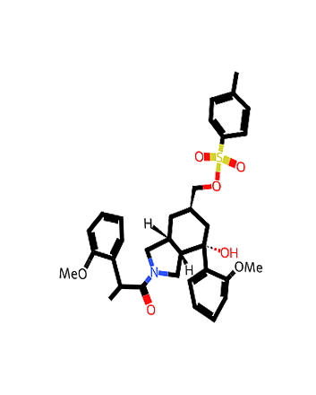 COc1ccccc1C(C)C(=O)N1C[C@@H]2C[C@@H](COS(=O)(=O)c3ccc(C)cc3)C[C@@](O)(c3ccccc3OC)[C@@H]2C1